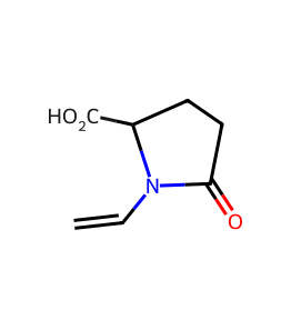 C=CN1C(=O)CCC1C(=O)O